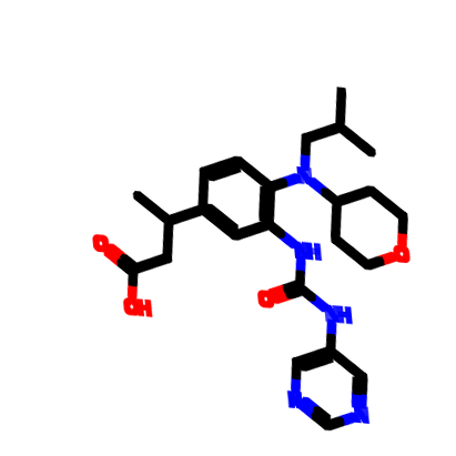 CC(C)CN(c1ccc(C(C)CC(=O)O)cc1NC(=O)Nc1cncnc1)C1CCOCC1